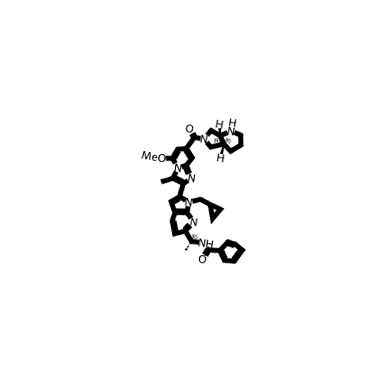 COc1cc(C(=O)N2C[C@H]3CCCN[C@H]3C2)cc2nc(-c3cc4ccc([C@@H](C)NC(=O)c5ccccc5)nc4n3CC3CC3)c(C)n12